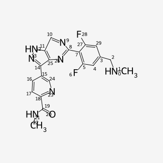 CNCc1cc(F)c(-c2ncc3[nH]nc(-c4ccc(C(=O)NC)nc4)c3n2)c(F)c1